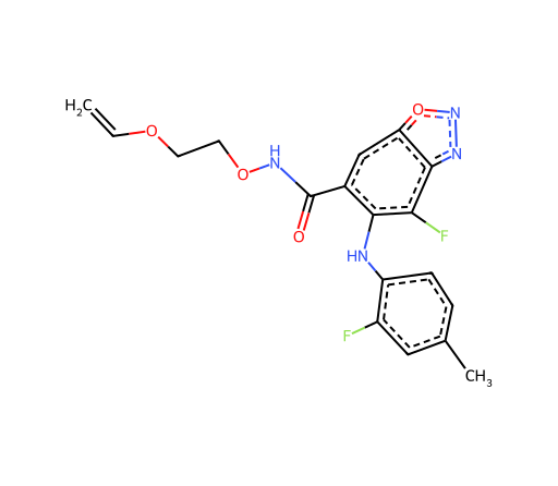 C=COCCONC(=O)c1cc2onnc2c(F)c1Nc1ccc(C)cc1F